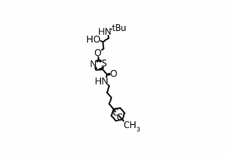 CC12CCC(CCCCNC(=O)c3cnc(OCC(O)CNC(C)(C)C)s3)(CC1)CC2